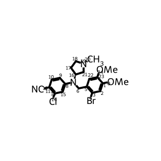 COc1cc(Br)c(CN(c2ccc(C#N)c(Cl)c2)[C@H]2CCN(C)C2)cc1OC